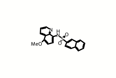 COc1ccc(NS(=O)(=O)c2ccc3ccccc3c2)c2ncccc12